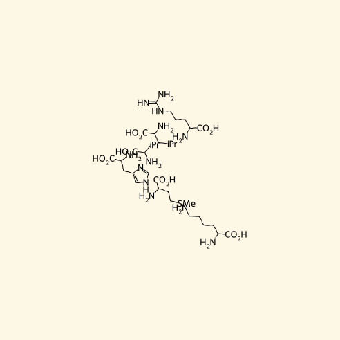 CC(C)C(N)C(=O)O.CC(C)CC(N)C(=O)O.CSCCC(N)C(=O)O.N=C(N)NCCCC(N)C(=O)O.NC(Cc1c[nH]cn1)C(=O)O.NCCCCC(N)C(=O)O